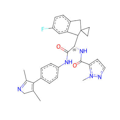 CC1=NCC(C)=C1c1ccc(NC(=O)[C@@H](NC(=O)c2ccnn2C)C2c3cc(F)ccc3CC23CC3)cc1